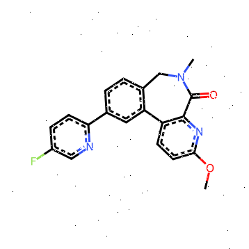 COc1ccc2c(n1)C(=O)N(C)Cc1ccc(-c3ccc(F)cn3)cc1-2